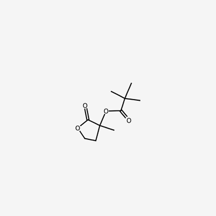 CC(C)(C)C(=O)OC1(C)CCOC1=O